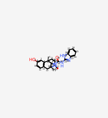 CN1CC[C@@]2(C)c3cc(O)ccc3C[C@@H]1[C@@H]2N(C)C(=O)Nc1nc2ccccc2[nH]1